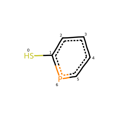 Sc1ccccp1